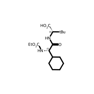 CCOC(=O)N[C@H](C(=O)N[C@H](C(=O)O)C(C)(C)C)C1CCCCC1